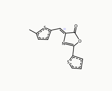 Cc1ccc(/C=C2\N=C(c3cccs3)OC2=O)s1